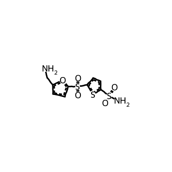 NCc1ccc(S(=O)(=O)c2ccc(S(N)(=O)=O)s2)o1